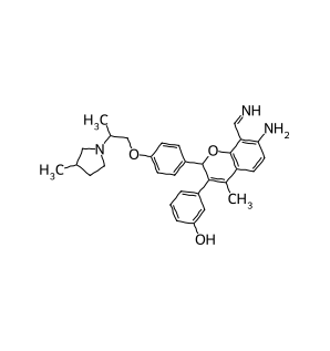 CC1=C(c2cccc(O)c2)C(c2ccc(OCC(C)N3CCC(C)C3)cc2)Oc2c1ccc(N)c2C=N